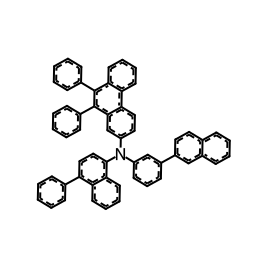 c1ccc(-c2ccc(N(c3cccc(-c4ccc5ccccc5c4)c3)c3ccc4c(c3)c(-c3ccccc3)c(-c3ccccc3)c3ccccc34)c3ccccc23)cc1